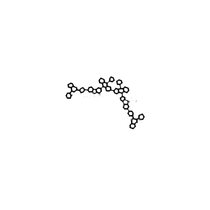 CC1(C)c2ccc(-c3c4ccccc4c(-c4ccccc4)c4cc(-c5ccc6c(-c7ccc8c(c7)C(C)(C)c7cc(-c9ccc%10c(c9)oc9c%11ccccc%11c%11oc%12ccccc%12c%11c%109)ccc7-8)c7ccccc7c(-c7ccccc7)c6c5)ccc34)cc2-c2ccc(-c3ccc4c(c3)oc3c5ccccc5c5c6ccccc6oc5c43)cc21